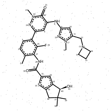 Cc1ccc(-c2cc(Nc3cc(CN4CCC4)n(C)n3)c(=O)n(C)n2)c(F)c1NC(=O)c1cc2c(s1)CC(C)(C)[C@@H]2O